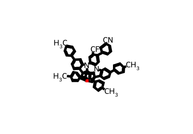 Cc1ccc(-c2ccc3c4ccc(-c5ccc(C)cc5)cc4n(-c4cc(-c5cccc(C#N)c5)c(C(F)(F)F)cc4-n4c5cc(-c6ccc(C)cc6)ccc5c5ccc(-c6ccc(C)cc6)cc54)c3c2)cc1